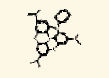 CC(C)c1cc2c3c(c1)Sc1cc(C(C)C)cc4c1B3c1c(cc(C(C)C)cc1N4c1ccccc1)S2